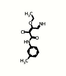 CCO/C(C=N)=C(\Cl)C(=O)Nc1cccc(C)c1